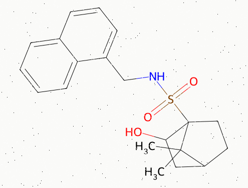 CC1(C)C2CCC1(S(=O)(=O)NCc1cccc3ccccc13)C(O)C2